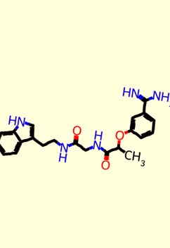 CC(Oc1cccc(C(=N)N)c1)C(=O)NCC(=O)NCCc1c[nH]c2ccccc12